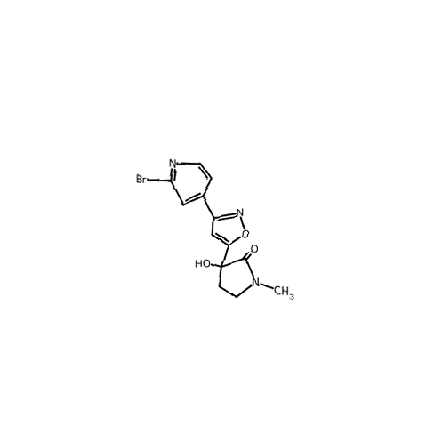 CN1CCC(O)(c2cc(-c3ccnc(Br)c3)no2)C1=O